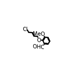 COc1cccc(C=O)c1OC/C=C/CCl